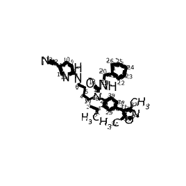 CCC[C@H](CCCNc1ccc(C#N)cn1)N(C(=O)NCc1ccccc1)c1ccc(-c2c(C)noc2C)cc1